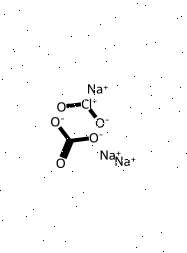 O=C([O-])[O-].[Na+].[Na+].[Na+].[O-][Cl+][O-]